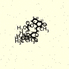 CCC(C)C(=O)OC1CC=CC2=CC(=O)C(C)C(CCC3CC(O[Si](C)(C)C(C)(C)C)CC(=O)O3)C21